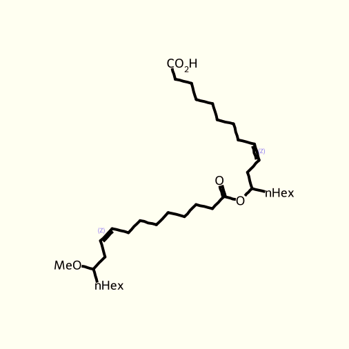 CCCCCCC(C/C=C\CCCCCCCC(=O)OC(C/C=C\CCCCCCCC(=O)O)CCCCCC)OC